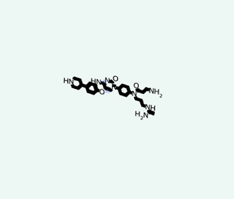 C=C(N)NCCCN(C(=O)CCN)C1CCC(N(C)/C=C2/Oc3ccc(C4CCNCC4)cc3N/C2=N/C=O)CC1